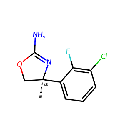 C[C@]1(c2cccc(Cl)c2F)COC(N)=N1